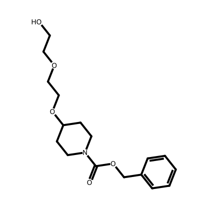 O=C(OCc1ccccc1)N1CCC(OCCOCCO)CC1